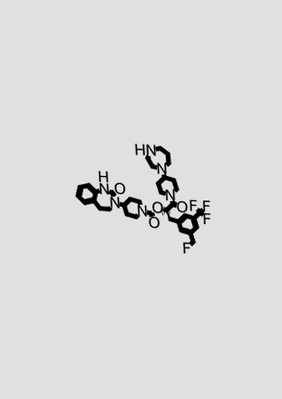 O=C(O[C@H](Cc1cc(CF)cc(C(F)(F)F)c1)C(=O)N1CCC(N2CCCNCC2)CC1)N1CCC(N2CCc3ccccc3NC2=O)CC1